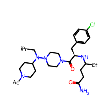 CCC(CCC(N)=O)N[C@H](Cc1ccc(Cl)cc1)C(=O)N1CCN(N(CC(C)C)C2CCN(C(C)=O)CC2)CC1